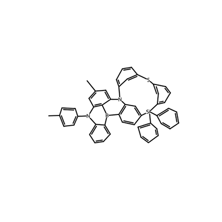 Cc1ccc(N2c3ccccc3B3c4ccc5cc4N(c4cccc(c4)Sc4cccc(c4)[Si]5(c4ccccc4)c4ccccc4)c4cc(C)cc2c43)cc1